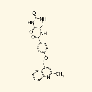 Cc1cc(COc2ccc(C(=O)NC3CNC(=O)NC3=O)cc2)c2ccccc2n1